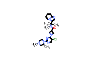 CC1CN(C)CCN1c1ncc(Cl)c(N2CC(C(=O)N(C)C(C)(C)c3cnc4ccccn34)C2)n1